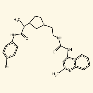 CCc1ccc(NC(=O)N(C)C2CCN(CCNC(=O)Nc3cc(C)nc4ccccc34)C2)cc1